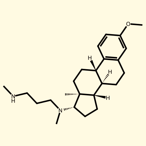 CNCCCN(C)[C@H]1CC[C@H]2[C@@H]3CCc4cc(OC)ccc4[C@H]3CC[C@]12C